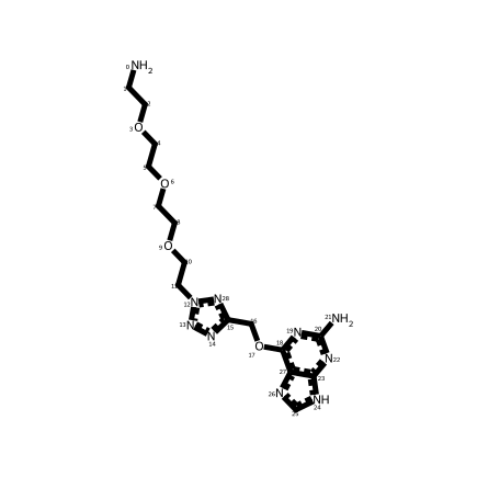 NCCOCCOCCOCCn1nnc(COc2nc(N)nc3[nH]cnc23)n1